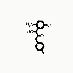 Cc1ccc(CC(=O)C(O)c2cc(Cl)ccc2N)cc1